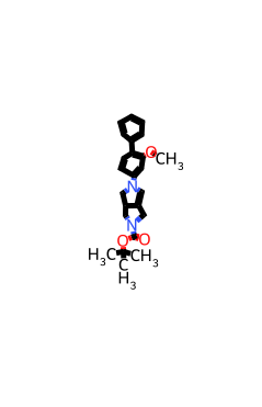 COc1cc(N2C=C3CN(C(=O)OC(C)(C)C)CC3C2)ccc1-c1ccccc1